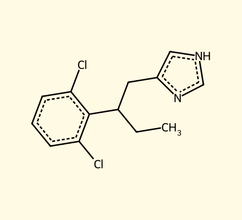 CCC(Cc1c[nH]cn1)c1c(Cl)cccc1Cl